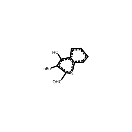 CCCCc1c(C=O)nc2ccccc2c1O